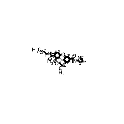 COCCNC(=O)c1ccc(Oc2cc(OC(C)COC)cc(C(=O)Nc3nccs3)c2)cc1